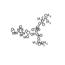 CC(C)(C)COC(=O)OCOP(=O)(COC[C@H]1O[C@@H](n2cnc3c(N[C@H]4CCOC4)nc(Cl)nc32)[C@H](O)[C@@H]1O)OCOC(=O)OCC(C)(C)C